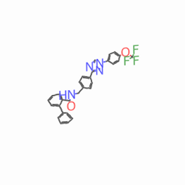 O=C(NCc1ccc(-c2ncn(-c3ccc(OC(F)(F)F)cc3)n2)cc1)c1ccccc1-c1ccccc1